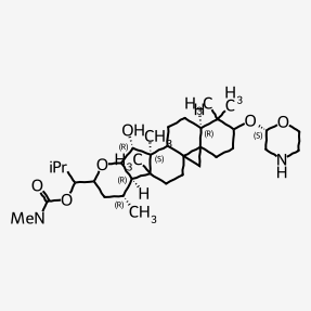 CNC(=O)OC(C(C)C)C1C[C@@H](C)[C@H]2C(O1)[C@H](O)[C@@]1(C)C3CC[C@H]4C(C)(C)C(O[C@H]5CNCCO5)CCC45CC35CCC21C